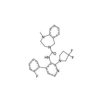 CN1CCN(C(=O)Nc2c(-c3ccccc3F)ccnc2N2CCC(F)(F)C2)Cc2ccccc21